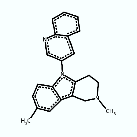 Cc1ccc2c(c1)c1c(n2-c2cnc3ccccc3c2)CCN(C)C1